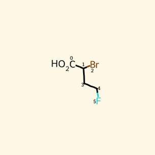 O=C(O)C(Br)CCF